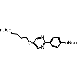 CCCCCCCCCCCCCCOc1cnc(-c2ccc(CCCCCCCCC)cc2)nc1